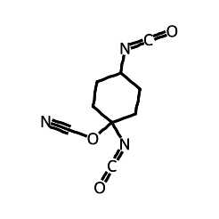 N#COC1(N=C=O)CCC(N=C=O)CC1